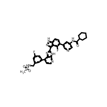 CS(=O)(=O)NCc1cc(F)cc(-c2ccnc3[nH]c(-c4n[nH]c5ccc(-c6cncc(NC(=O)C7CCCCC7)c6)c(F)c45)nc23)c1